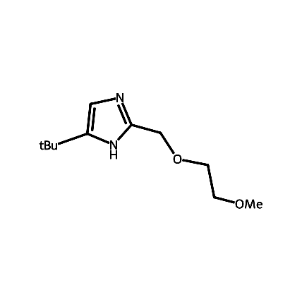 COCCOCc1ncc(C(C)(C)C)[nH]1